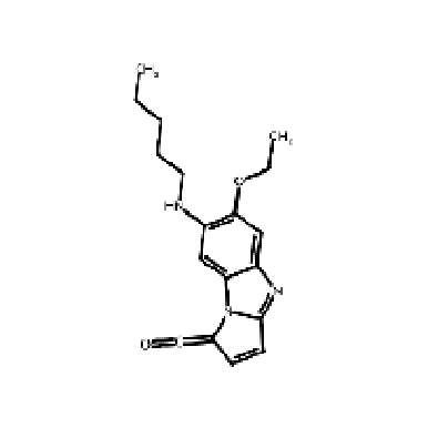 CCCCCNc1cc2c(cc1OCC)nc1ccc(=C=O)n12